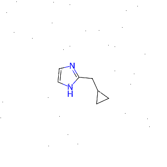 c1c[nH]c(CC2CC2)n1